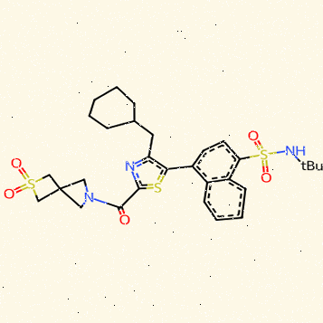 CC(C)(C)NS(=O)(=O)c1ccc(-c2sc(C(=O)N3CC4(C3)CS(=O)(=O)C4)nc2CC2CCCCC2)c2ccccc12